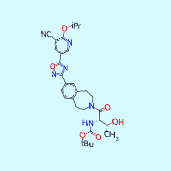 CC(C)Oc1ncc(-c2nc(-c3ccc4c(c3)CCN(C(=O)[C@@H](NC(=O)OC(C)(C)C)[C@@H](C)O)CC4)no2)cc1C#N